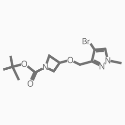 Cn1cc(Br)c(COC2CN(C(=O)OC(C)(C)C)C2)n1